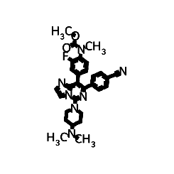 COC(=O)N(C)c1ccc(-c2c(-c3ccc(C#N)cc3)nc(N3CCC(N(C)C)CC3)n3ccnc23)cc1F